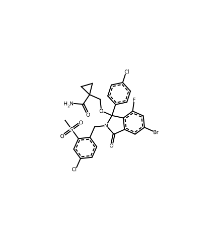 CS(=O)(=O)c1cc(Cl)ccc1CN1C(=O)c2cc(Br)cc(F)c2C1(OCC1(C(N)=O)CC1)c1ccc(Cl)cc1